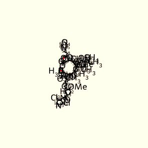 COc1ccc(C(=O)Nc2c(Cl)cncc2Cl)cc1OCCS[C@@H]1C(=O)O[C@@]2(C)[C@H]1[C@@H](C)C(=O)[C@H](C)C[C@@](C)(OC)[C@H](O[C@@H]1O[C@H](C)C[C@H](N(C)C)[C@H]1O)[C@@H](C)[C@H](OC(=O)CCN1CCOCC1)[C@@H](C)C(=O)O[C@@H]2I